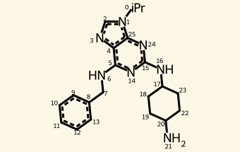 CC(C)n1cnc2c(NCc3ccccc3)nc(NC3CCC(N)CC3)nc21